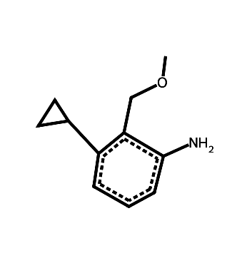 COCc1c(N)cccc1C1CC1